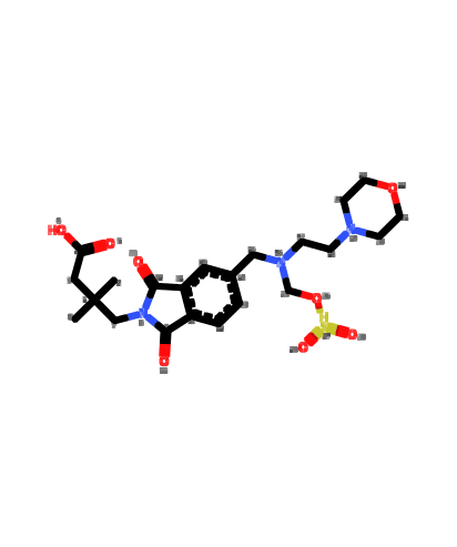 CC(C)(CC(=O)O)CN1C(=O)c2ccc(CN(CCN3CCOCC3)CO[SH](=O)=O)cc2C1=O